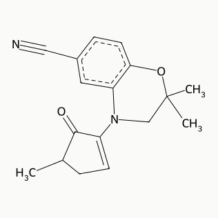 CC1CC=C(N2CC(C)(C)Oc3ccc(C#N)cc32)C1=O